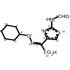 O=CNc1nc(/C(=N\OC2CCCCC2)C(=O)O)cs1